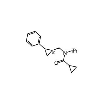 CC(C)N(C[C@H]1CC1c1ccccc1)C(=O)C1CC1